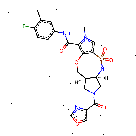 Cc1cc(NC(=O)c2c3c(cn2C)S(=O)(=O)N[C@H]2CN(C(=O)c4cocn4)C[C@H]2CO3)ccc1F